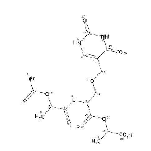 CC(C)C(=O)OC(C)C(=O)OC(COCc1c[nH]c(=O)[nH]c1=O)C(=O)OC(C)C(=O)O